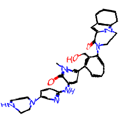 Cn1cc(-c2cccc(N3CCn4c(cc5c4CCCC5)C3=O)c2CO)cc(Nc2ccc(N3CCNCC3)cn2)c1=O